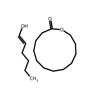 CCCCC=CO.O=C1CCCCCCCCCCCO1